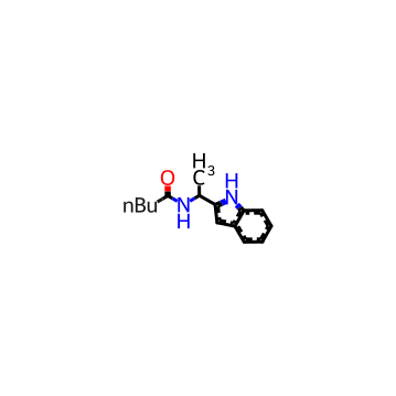 CCCCC(=O)NC(C)c1cc2ccccc2[nH]1